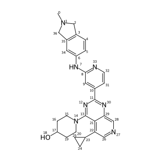 CN1Cc2ccc(Nc3cc(-c4nc(N5CCC(O)CC5)c5c(C6CC6)cncc5n4)ccn3)cc2C1